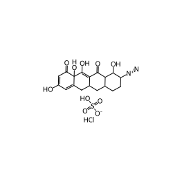 Cl.N#[N+]C1CCC2CC3CC4=CC(O)=CC(=O)C4(O)C(O)=C3C(=O)C2C1O.O=S(=O)([O-])O